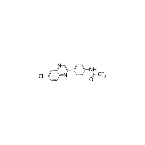 O=C(Nc1ccc(-c2cnc3cc(Cl)ccc3n2)cc1)C(F)(F)F